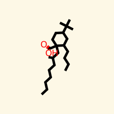 CCCCCCC(C)CC1(C(=O)O)CCC(C(C)(C)C)CC1CCCC